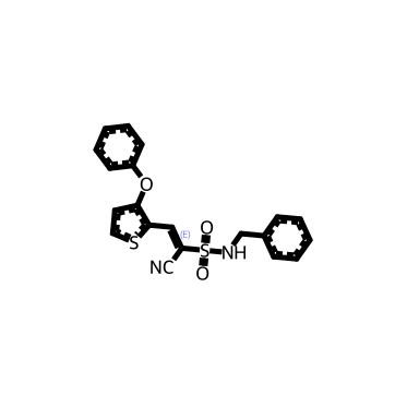 N#C/C(=C\c1sccc1Oc1ccccc1)S(=O)(=O)NCc1ccccc1